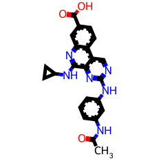 CC(=O)Nc1cccc(Nc2ncc3c(n2)c(NC2CC2)nc2cc(C(=O)O)ccc23)c1